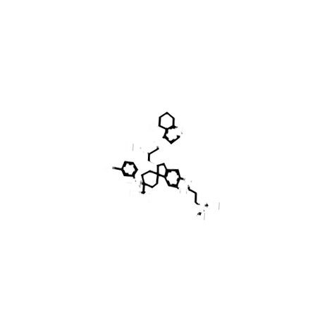 C[C@@H](COc1ccnc2c1[C@H](C)CCC2)C[C@H]1Cc2cc3c(cc2C12CCC(Nc1cccc(Cl)c1)(C(=O)O)CC2)OC(CCN(C)C)O3